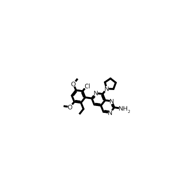 CCc1c(OC)cc(OC)c(Cl)c1-c1cc2cnc(N)nc2c(N2CCCC2)n1